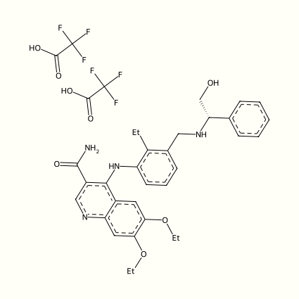 CCOc1cc2ncc(C(N)=O)c(Nc3cccc(CN[C@H](CO)c4ccccc4)c3CC)c2cc1OCC.O=C(O)C(F)(F)F.O=C(O)C(F)(F)F